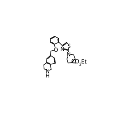 CCOC(=O)[C@@]12CCN(c3nc(-c4ccccc4OCc4ccc5c(c4)CCNC5)cs3)CC1C2